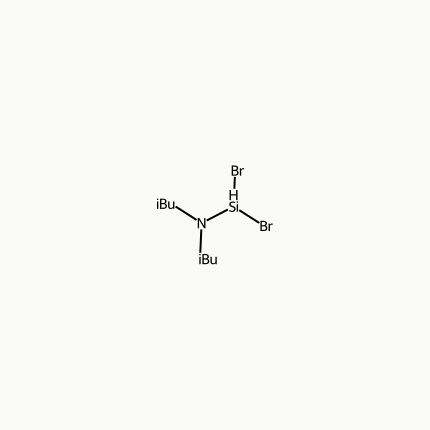 CCC(C)N(C(C)CC)[SiH](Br)Br